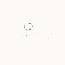 CCC(C)CNC(=O)c1ccccc1C(O)CNC1CCCC1